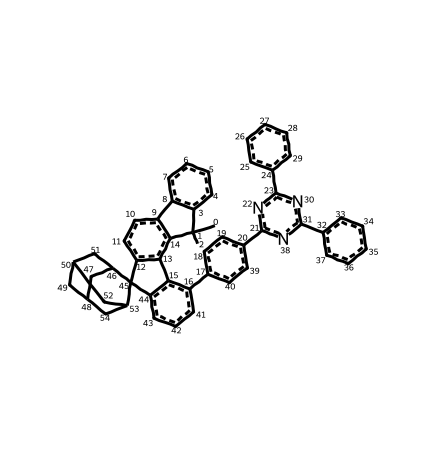 CC1(C)c2ccccc2-c2ccc3c(c21)-c1c(-c2ccc(-c4nc(-c5ccccc5)nc(-c5ccccc5)n4)cc2)cccc1C31C2CC3CC(C2)CC1C3